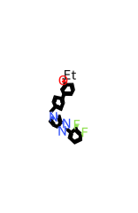 CCOc1cccc(-c2ccc(Cn3ccc4nc(-c5cccc(F)c5F)nc-4c3)cc2)c1